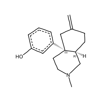 C=C1CC[C@H]2CN(C)CC[C@@]2(c2cccc(O)c2)C1